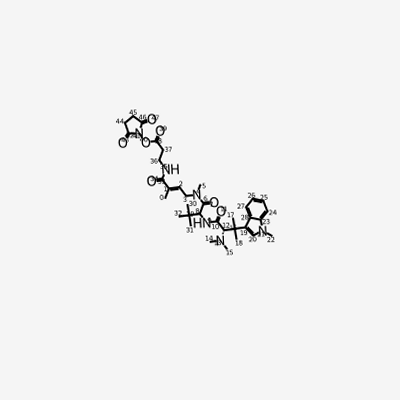 C/C(=C\CN(C)C(=O)C(NC(=O)[C@@H](N(C)C)C(C)(C)c1cn(C)c2ccccc12)C(C)(C)C)C(=O)NCCC(=O)ON1C(=O)CCC1=O